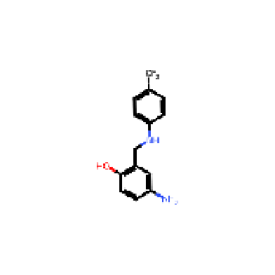 Nc1ccc(O)c(CNc2ccc(C(F)(F)F)cc2)c1